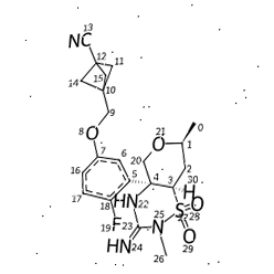 C[C@H]1C[C@@H]2[C@](c3cc(OCC45CC(C#N)(C4)C5)ccc3F)(CO1)NC(=N)N(C)S2(=O)=O